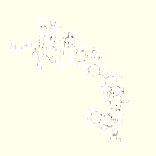 COC(=O)N[C@H](C(=O)N1CC2(CC1c1ncc(-c3ccc4c(c3)C(F)(F)c3cc(-c5ccc6nc([C@@H]7CCCN7C(=O)[C@H](NC(=O)OC)c7ccccc7)[nH]c6c5)ccc3-4)[nH]1)OCCO2)C(C)C